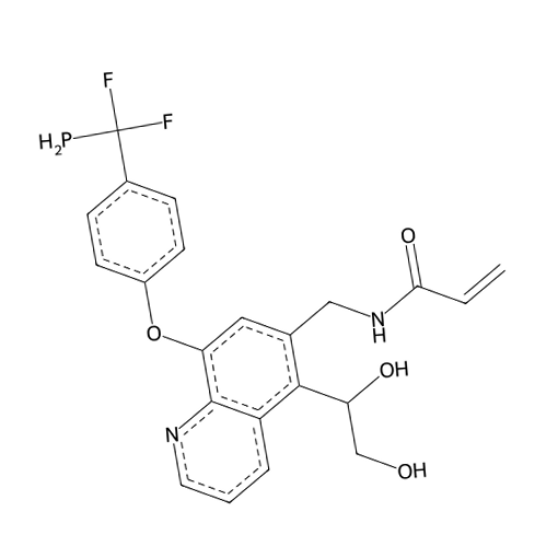 C=CC(=O)NCc1cc(Oc2ccc(C(F)(F)P)cc2)c2ncccc2c1C(O)CO